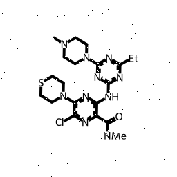 CCc1nc(Nc2nc(N3CCSCC3)c(Cl)nc2C(=O)NC)nc(N2CCN(C)CC2)n1